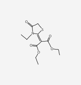 CCOC(=O)C(C(=O)OCC)=C1SCC(=O)N1CC